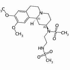 COc1cc2c(cc1OC)[C@@H]1C[C@H](N(CCNS(C)(=O)=O)S(C)(=O)=O)CCN1CC2